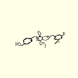 Cc1nn(Cc2ccc(CO)cc2)c(=O)c2c1CCN(Cc1cc(F)cc(F)c1)C2